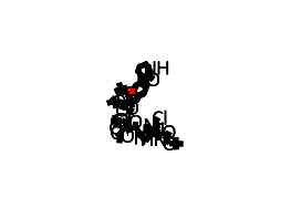 CC(=O)O[C@H]1[C@H](n2ncc3c(NC(=O)OC(C)(C)C)nc(Cl)nc32)O[C@H](COC(Cc2ccc(N3CCCNC3=O)cc2)(C(=O)OC(C)(C)C)C(=O)OC(C)(C)C)[C@]12COC(C)(C)O2